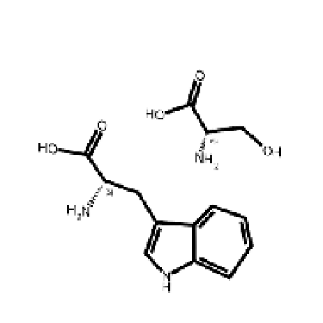 N[C@@H](CO)C(=O)O.N[C@@H](Cc1c[nH]c2ccccc12)C(=O)O